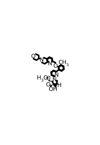 COC[C@H]1N(c2cccc(-c3cccc(C)c3OCc3ccc4c(n3)CCN(C3CCOCC3)C4)n2)C[C@@H]2C[C@@]21C(=O)O